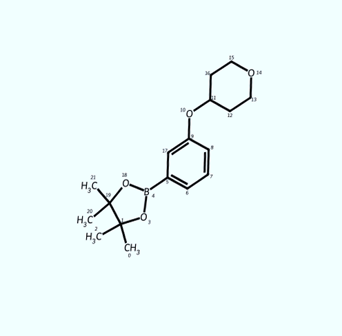 CC1(C)OB(c2cccc(OC3CCOCC3)c2)OC1(C)C